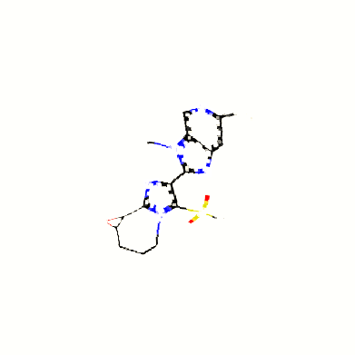 CCS(=O)(=O)c1c(-c2nc3cc(C(F)(F)F)ncc3n2C)nc2n1CCCC1OC21